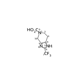 O=C(O)N1CCc2[nH]c(C(F)(F)F)nc2C1